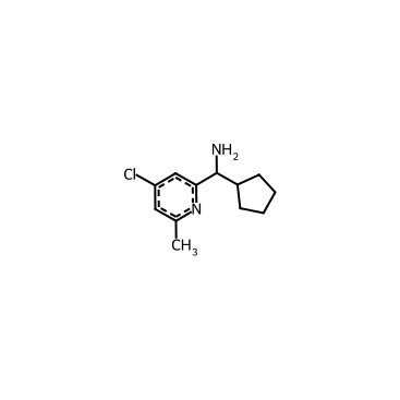 Cc1cc(Cl)cc(C(N)C2CCCC2)n1